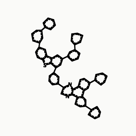 c1ccc(-c2cccc(-c3ccc4sc5c(-c6cccc(-c7cnc8c9ccc(-c%10ccccc%10)cc9c9cc(-c%10ccccc%10)ccc9c8n7)c6)cc(-c6cccc(-c7ccccc7)c6)cc5c4c3)c2)cc1